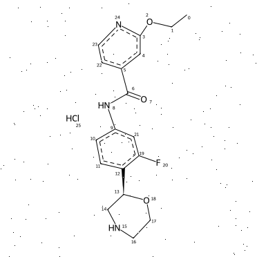 CCOc1cc(C(=O)Nc2ccc([C@@H]3CNCCO3)c(F)c2)ccn1.Cl